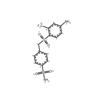 Nc1ccc(S(=O)(=O)Cc2ccc(S(N)(=O)=O)cc2)c(C(F)(F)F)c1